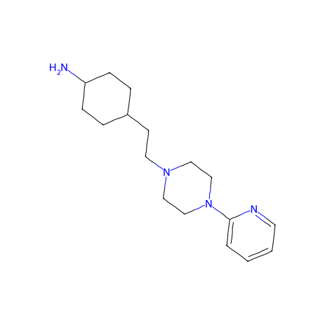 NC1CCC(CCN2CCN(c3ccccn3)CC2)CC1